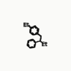 CCc1ccc(CC(CC)c2ccccc2)cc1